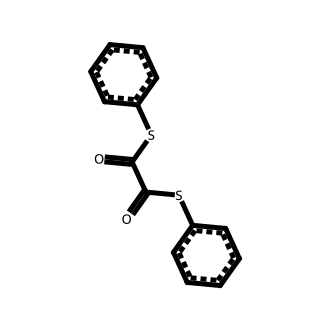 O=C(Sc1ccccc1)C(=O)Sc1ccccc1